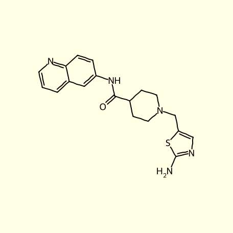 Nc1ncc(CN2CCC(C(=O)Nc3ccc4ncccc4c3)CC2)s1